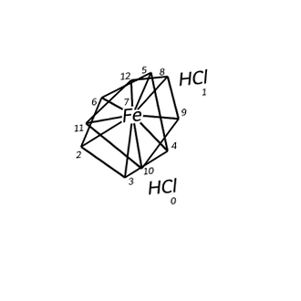 Cl.Cl.[CH]12[CH]3[CH]4[CH]5[CH]1[Fe]23451678[CH]2[CH]1[CH]6[CH]7[CH]28